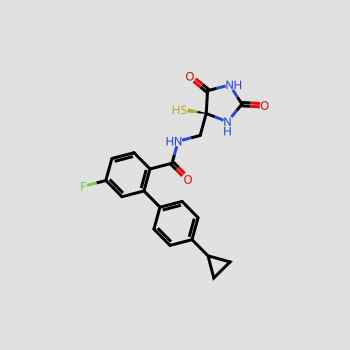 O=C1NC(=O)[C@@](S)(CNC(=O)c2ccc(F)cc2-c2ccc(C3CC3)cc2)N1